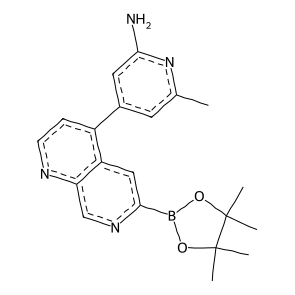 Cc1cc(-c2ccnc3cnc(B4OC(C)(C)C(C)(C)O4)cc23)cc(N)n1